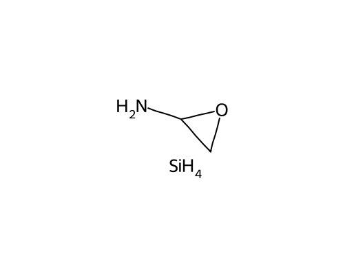 NC1CO1.[SiH4]